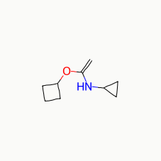 C=C(NC1CC1)OC1CCC1